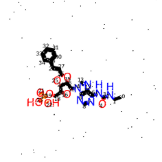 CCNC(=O)Nc1ncnc2c1ncn2C1OC(COP(=O)(O)O)C2OC(/C=C/c3ccccc3)OC21